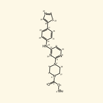 CC(C)(C)OC(=O)N1CCN(c2nccc(Nc3ccc(-c4cncs4)cc3)n2)CC1